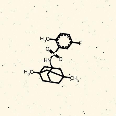 Cc1ccc(F)cc1S(=O)(=O)NC12CC3CC(C)(CC(C)(C3)C1)C2